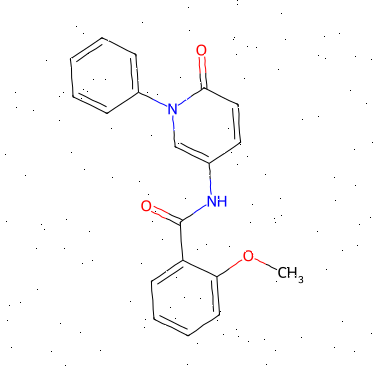 COc1ccccc1C(=O)Nc1ccc(=O)n(-c2ccccc2)c1